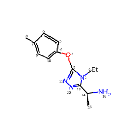 CCn1c(Oc2ccc(C)cc2)nnc1[C@H](C)N